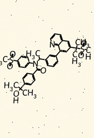 CC(c1cccc(-c2cc(C(C)(C)S(C)(=O)=O)cc3cccnc23)c1)N(C(=O)c1ccc(C(C)(C)O)cc1)c1ccc(S(C)(=O)=O)cc1